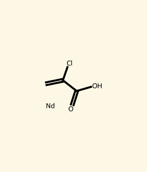 C=C(Cl)C(=O)O.[Nd]